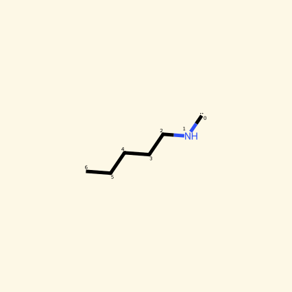 [CH]NCCCCC